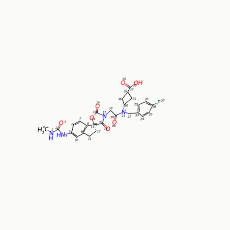 CNC(=O)Nc1ccc2c(c1)CC[C@@]21OC(=O)N(CC(=O)N(Cc2ccc(F)cc2)C2CC(C(=O)O)C2)C1=O